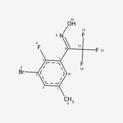 Cc1cc(Br)c(F)c(C(=NO)C(F)(F)F)c1